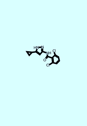 O=C(Nc1cc(C2CC2)[nH]n1)c1c(Cl)cccc1Cl